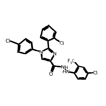 O=C(NNc1ccc(Cl)cc1C(F)(F)F)c1cn(-c2ccc(Cl)cc2)c(-c2ccccc2Cl)n1